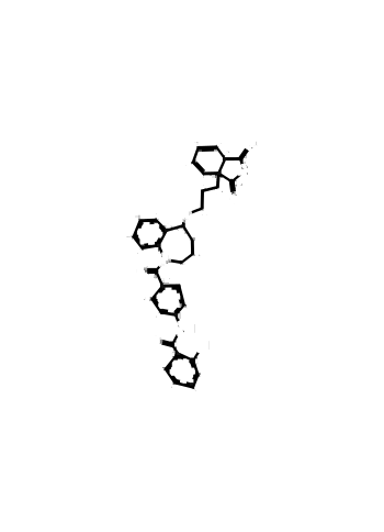 Cc1ccccc1C(=O)Nc1ccc(C(=O)N2CCCC(OCCCC34C=CC=CC3C(=O)NC4=O)c3ccccc32)cc1